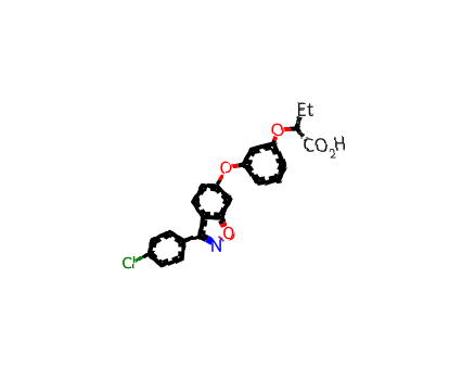 CCC(Oc1cccc(Oc2ccc3c(-c4ccc(Cl)cc4)noc3c2)c1)C(=O)O